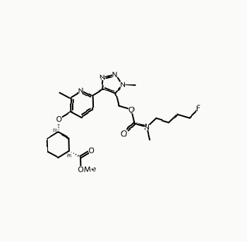 COC(=O)[C@@H]1CCC[C@H](Oc2ccc(-c3nnn(C)c3COC(=O)N(C)CCCCF)nc2C)C1